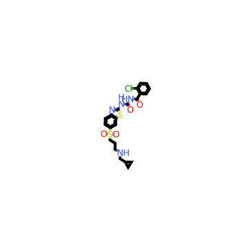 O=C(NC(=O)c1ccccc1Cl)Nc1nc2ccc(S(=O)(=O)CCCNCC3CC3)cc2s1